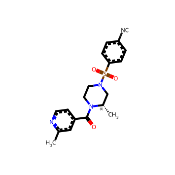 [C-]#[N+]c1ccc(S(=O)(=O)N2CCN(C(=O)c3ccnc(C)c3)[C@@H](C)C2)cc1